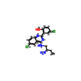 CC(C)CC(N)CNc1nc(-c2cc(Cl)ccc2O)nc2ccc(Cl)cc12